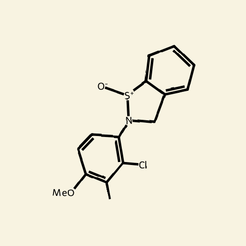 COc1ccc(N2Cc3ccccc3[S+]2[O-])c(Cl)c1C